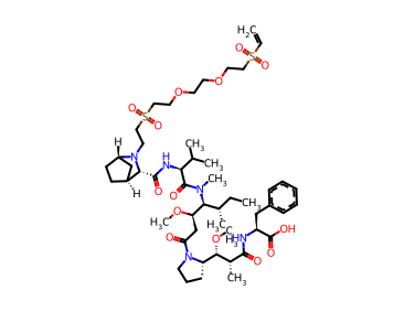 C=CS(=O)(=O)CCOCCOCCS(=O)(=O)CCN1[C@H]2CC[C@@H](C2)[C@H]1C(=O)N[C@H](C(=O)N(C)[C@@H]([C@@H](C)CC)[C@@H](CC(=O)N1CCC[C@H]1[C@H](OC)[C@@H](C)C(=O)N[C@@H](Cc1ccccc1)C(=O)O)OC)C(C)C